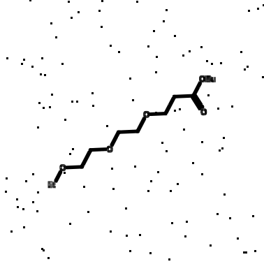 CCOCCOCCOCCC(=O)OCC(C)C